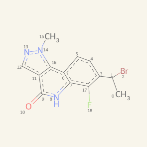 CC(Br)c1ccc2c([nH]c(=O)c3cnn(C)c32)c1F